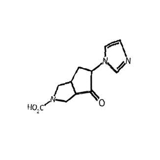 O=C1C2CN(C(=O)O)CC2CC1n1ccnc1